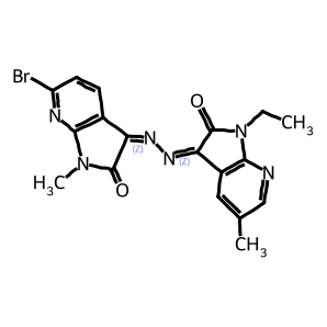 CCN1C(=O)/C(=N\N=C2/C(=O)N(C)c3nc(Br)ccc32)c2cc(C)cnc21